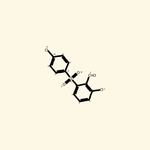 O=Cc1c(Cl)cccc1S(=O)(=O)c1ccc(Cl)cc1